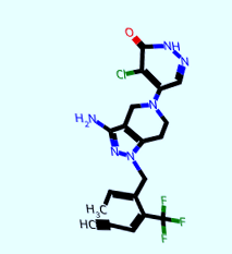 C#C/C=C(\C(=C/C)Cn1nc(N)c2c1CCN(c1cn[nH]c(=O)c1Cl)C2)C(F)(F)F